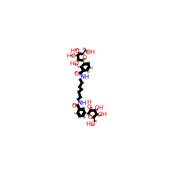 O=C(NCCCCCCCNC(=O)c1cccc([C@H]2O[C@H](CO)[C@@H](O)[C@H](O)[C@@H]2O)c1)c1cccc([C@H]2O[C@H](CO)[C@@H](O)[C@H](O)[C@H]2O)c1